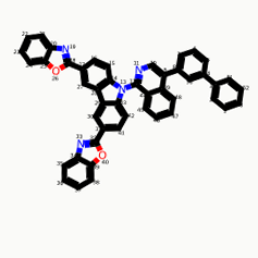 c1ccc(-c2cccc(-c3cnc(-n4c5ccc(-c6nc7ccccc7o6)cc5c5cc(-c6nc7ccccc7o6)ccc54)c4ccccc34)c2)cc1